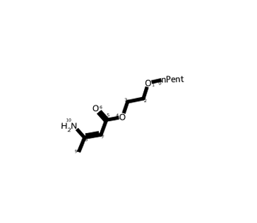 CCCCCOCCOC(=O)/C=C(/C)N